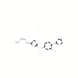 COc1cc(Nc2nc(CC[C@H](C)CN)cs2)ccc1-c1nc(C)c[nH]1.Cl.Cl.Cl